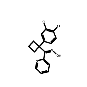 O/N=C(\c1ccccn1)C1(c2ccc(Cl)c(Cl)c2)CCC1